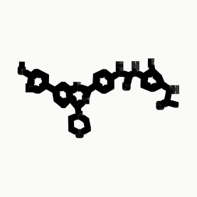 COc1ccc(-c2ccc3c(N4CCOCC4)nc(-c4ccc(NC(=O)Nc5ccc(NC(C)=O)cc5F)cc4)nc3c2)cn1